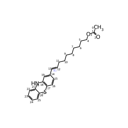 CC(=O)OCCCCCCCC/C=C/c1ccc2c(c1)Nc1ccccc1S2